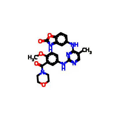 COc1ccc(Nc2ncc(C)c(Nc3ccc4oc(=O)[nH]c4c3)n2)cc1C(=O)N1CCOCC1